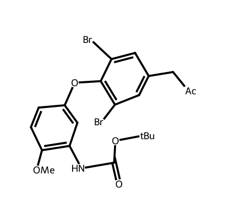 COc1ccc(Oc2c(Br)cc(CC(C)=O)cc2Br)cc1NC(=O)OC(C)(C)C